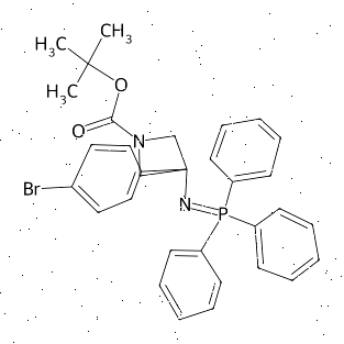 CC(C)(C)OC(=O)N1CC(N=P(c2ccccc2)(c2ccccc2)c2ccccc2)(c2ccc(Br)cc2)C1